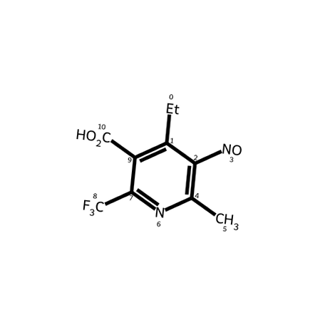 CCc1c(N=O)c(C)nc(C(F)(F)F)c1C(=O)O